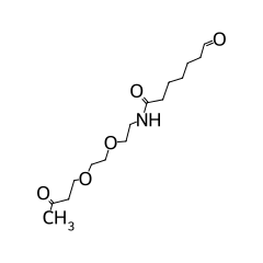 CC(=O)CCOCCOCCNC(=O)CCCCCC=O